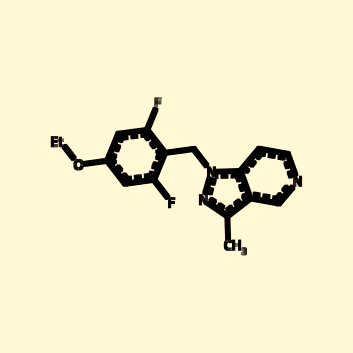 CCOc1cc(F)c(Cn2nc(C)c3cnccc32)c(F)c1